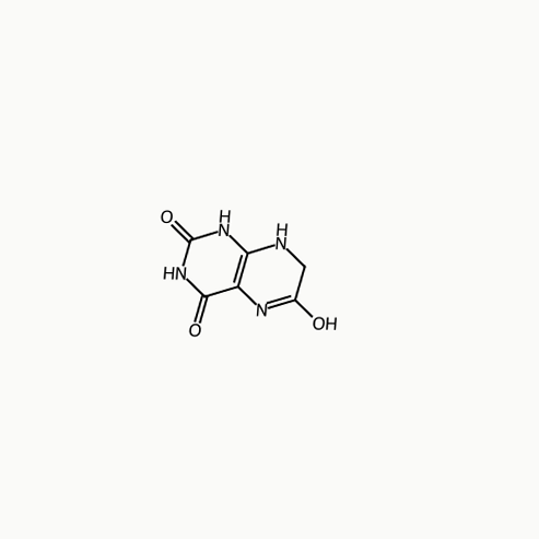 O=c1[nH]c2c(c(=O)[nH]1)N=C(O)CN2